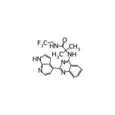 CC(C)(Nc1nc(-c2ccnc3[nH]ccc23)nc2ccccc12)C(=O)NCC(F)(F)F